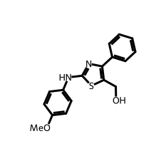 COc1ccc(Nc2nc(-c3ccccc3)c(CO)s2)cc1